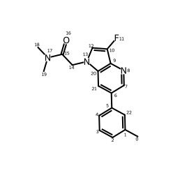 Cc1cccc(-c2cnc3c(F)cn(CC(=O)N(C)C)c3c2)c1